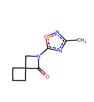 Cc1noc(N2CC3(CCC3)C2=O)n1